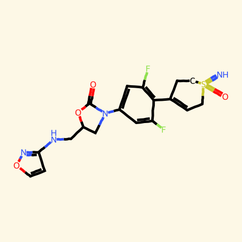 N=S1(=O)CC=C(c2c(F)cc(N3CC(CNc4ccon4)OC3=O)cc2F)CC1